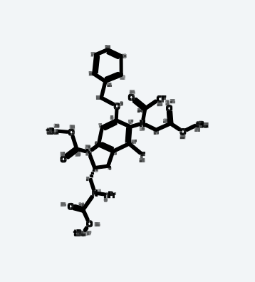 CCCN(C[C@H]1Cc2c(cc(OCc3ccccc3)c(N(CC(=O)OC(C)(C)C)C(=O)C(F)(F)F)c2F)N1C(=O)OC(C)(C)C)C(=O)OC(C)(C)C